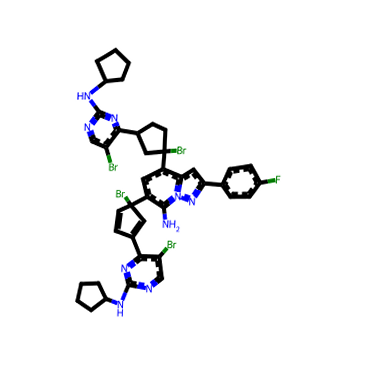 Nc1c(C2(Br)C=CC(c3nc(NC4CCCC4)ncc3Br)=C2)cc(C2(Br)CCC(c3nc(NC4CCCC4)ncc3Br)C2)c2cc(-c3ccc(F)cc3)nn12